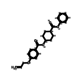 C=CCOc1ccc(C(=O)OC2CCC(C(=O)Oc3ccccc3)CC2)cc1